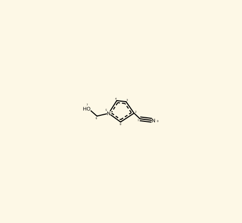 N#Cc1ccn(CO)c1